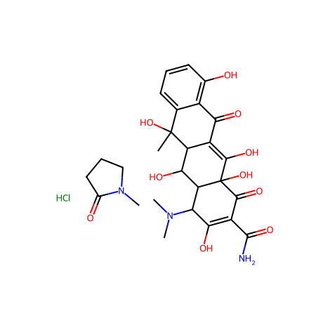 CN(C)C1C(O)=C(C(N)=O)C(=O)C2(O)C(O)=C3C(=O)c4c(O)cccc4C(C)(O)C3C(O)C12.CN1CCCC1=O.Cl